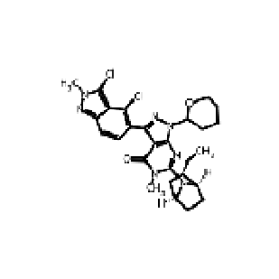 CC[C@@H]1C[C@@H]2CC[C@H]1N2c1nc2c(c(-c3ccc4nn(C)c(Cl)c4c3Cl)nn2C2CCCCO2)c(=O)n1C